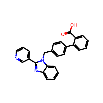 O=C(O)c1ccccc1-c1ccc(Cn2c(-c3cccnc3)nc3ccccc32)cc1